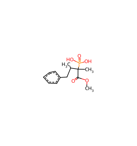 COC(=O)C(C)(C(C)Cc1ccccc1)P(=O)(O)O